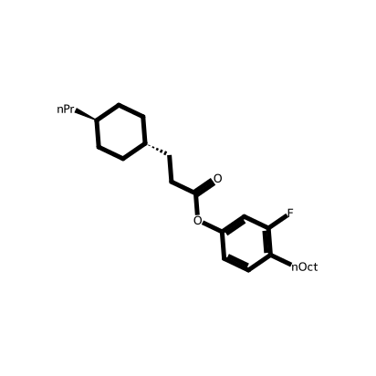 CCCCCCCCc1ccc(OC(=O)CC[C@H]2CC[C@H](CCC)CC2)cc1F